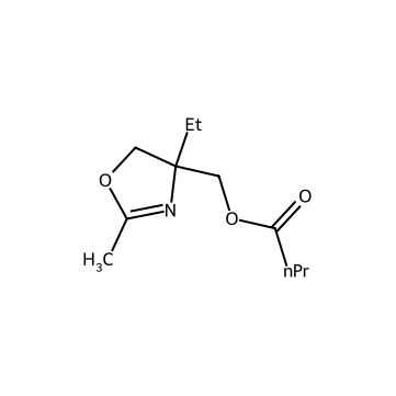 CCCC(=O)OCC1(CC)COC(C)=N1